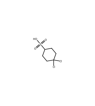 O=S(=O)(O)C1CCC(Cl)(Cl)CC1